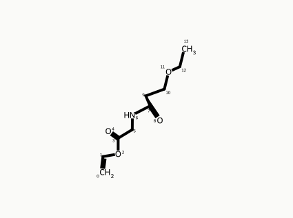 C=COC(=O)CNC(=O)CCOCC